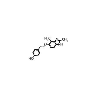 Cc1nc2c(C)c(OCCc3ccc(O)cc3)ccc2[nH]1